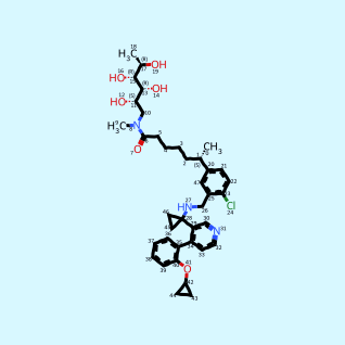 C[C@@H](CCCCC(=O)N(C)C[C@H](O)[C@@H](O)[C@H](O)[C@@H](C)O)c1ccc(Cl)c(CNC2(c3cnccc3-c3ccccc3OC3CC3)CC2)c1